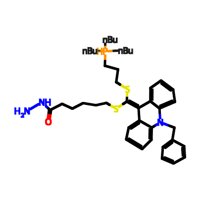 CCCC[PH](CCCC)(CCCC)CCCSC(SCCCCCC(=O)NN)=C1c2ccccc2N(Cc2ccccc2)c2ccccc21